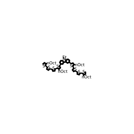 CCCCCCCCc1ccsc1-c1ccc(-c2ccc(-c3sc(-c4ccc5c(c4)c4cc(-c6cc(CCCCCCCC)c(-c7ccc(-c8ccc(-c9sccc9CCCCCCCC)s8)s7)s6)ccc4n5CC)cc3CCCCCCCC)s2)s1